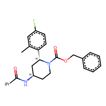 Cc1cc(F)ccc1[C@H]1C[C@H](NC(=O)C(C)C)CCN1C(=O)OCc1ccccc1